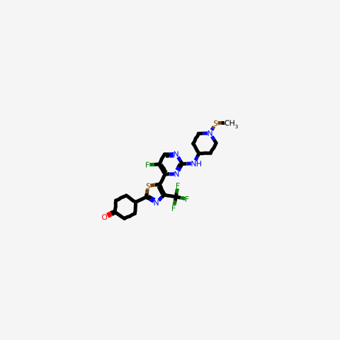 CSN1CCC(Nc2ncc(F)c(-c3sc(C4CCC(=O)CC4)nc3C(F)(F)F)n2)CC1